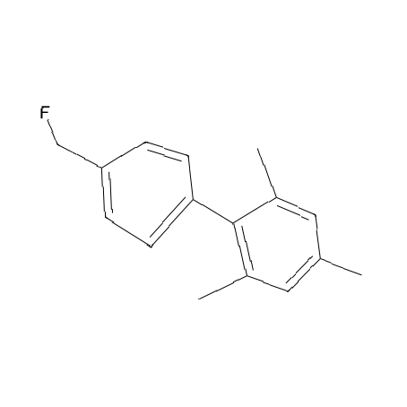 Cc1cc(C)c(-c2ccc(CF)cc2)c(C)c1